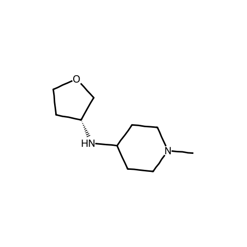 CN1CCC(N[C@@H]2CCOC2)CC1